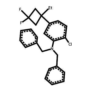 CCC1(c2ccc(Cl)c(N(Cc3ccccc3)Cc3ccccc3)c2)CC(F)(F)C1